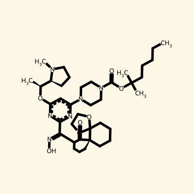 CCCCCC(C)(C)OC(=O)N1CCN(c2cc(O[C@@H](C)[C@@H]3CCCN3C)nc(/C(=N/O)C3CCC[C@@]4(CCCCC45OCCO5)C3=O)n2)CC1